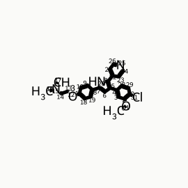 COc1cc(-c2cc(-c3ccc(OCCN(C)C)cc3)[nH]c2-c2ccncc2)ccc1Cl